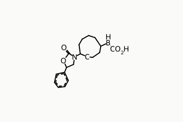 O=C(O)BC1CCCCC(N2CC(c3ccccc3)OC2=O)CCC1